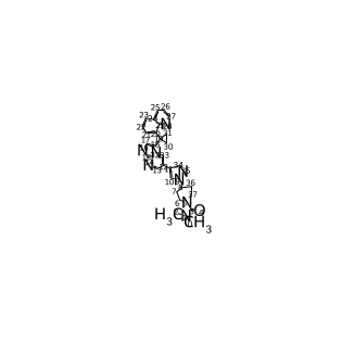 CN(C)C(=O)N1CCC(n2cc(-c3cnc4ncc(C5(c6cccc7cccnc67)CC5)n4c3)cn2)CC1